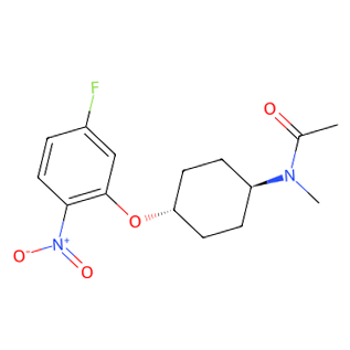 CC(=O)N(C)[C@H]1CC[C@H](Oc2cc(F)ccc2[N+](=O)[O-])CC1